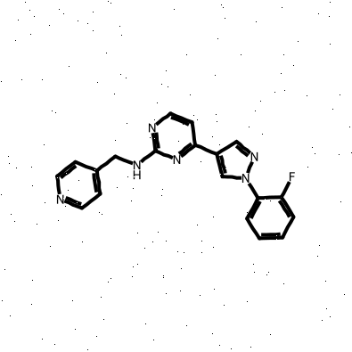 Fc1ccccc1-n1cc(-c2ccnc(NCc3ccncc3)n2)cn1